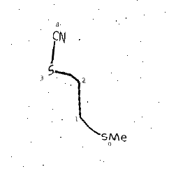 CSCCSC#N